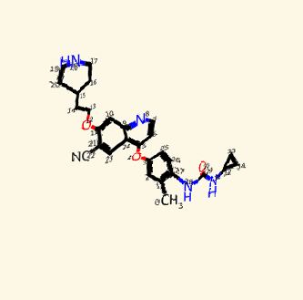 Cc1cc(Oc2ccnc3cc(OCCC4CCNCC4)c(C#N)cc23)ccc1NC(=O)NC1CC1